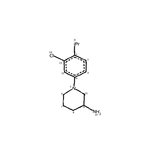 CC(C)c1ccc(N2CCCC(N)C2)cc1Cl